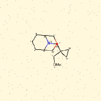 COCC1(CN2C3CCCC2COC3)CC1